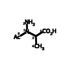 CC(=O)N(N)C(C)C(=O)O